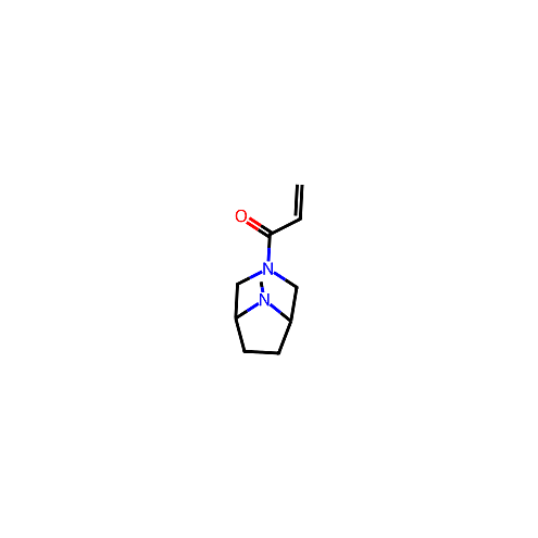 C=CC(=O)N1CC2CCC(C1)N2C